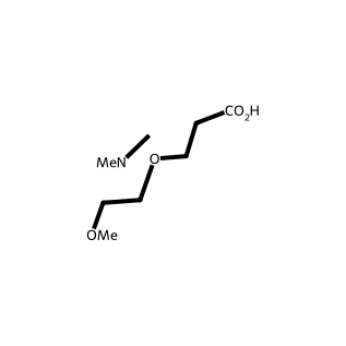 CNC.COCCOCCC(=O)O